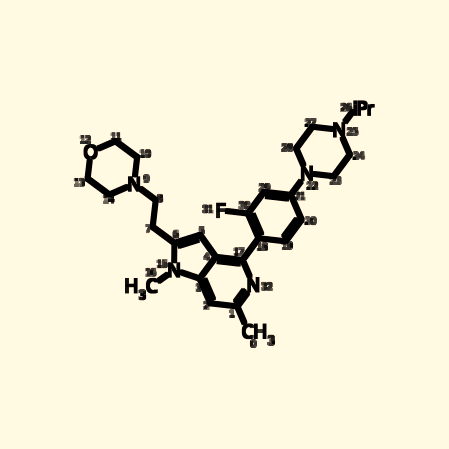 Cc1cc2c(cc(CCN3CCOCC3)n2C)c(-c2ccc(N3CCN(C(C)C)CC3)cc2F)n1